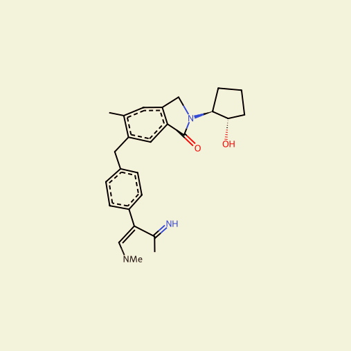 CN/C=C(\C(C)=N)c1ccc(Cc2cc3c(cc2C)CN([C@H]2CCC[C@@H]2O)C3=O)cc1